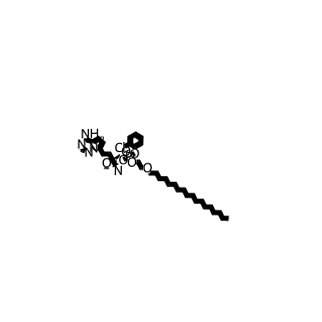 CCCCCCCCCCCCCCCCCCOCCOP(=O)(OC[C@](C#N)(CCc1ccc2c(N)ncnn12)OC)Oc1ccccc1Cl